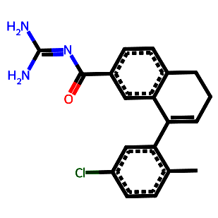 Cc1ccc(Cl)cc1C1=CCCc2ccc(C(=O)N=C(N)N)cc21